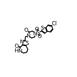 O=C1NCCCc2sc(CN3CCN(S(=O)(=O)c4cc5ccc(Cl)cc5s4)CC3=O)nc21